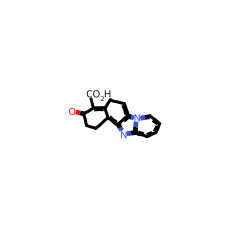 O=C(O)C1=C2CC=c3c(nc4ccccn34)=C2CCC1=O